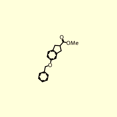 COC(=O)C1Cc2ccc(OCc3ccccc3)cc2C1